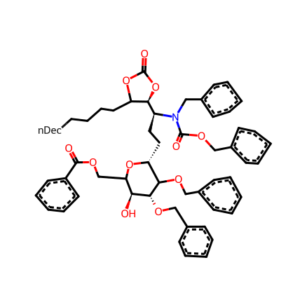 CCCCCCCCCCCCCCC1OC(=O)O[C@H]1[C@H](CC[C@H]1OC(COC(=O)c2ccccc2)[C@H](O)[C@@H](OCc2ccccc2)C1OCc1ccccc1)N(Cc1ccccc1)C(=O)OCc1ccccc1